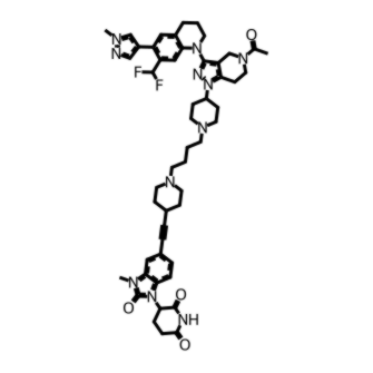 CC(=O)N1CCc2c(c(N3CCCc4cc(-c5cnn(C)c5)c(C(F)F)cc43)nn2C2CCN(CCCCN3CCC(C#Cc4ccc5c(c4)n(C)c(=O)n5C4CCC(=O)NC4=O)CC3)CC2)C1